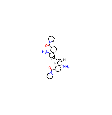 N[C@@H]1C2CC(C3C[C@H]4C[C@@H]3[C@@]3(CCC[C@@H](C(=O)N5CCCCC5)C3)[C@@H]4N)C(C2)[C@]12CCCC(C(=O)N1CCCCC1)C2